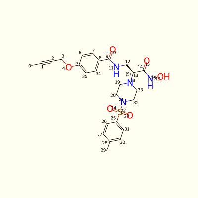 CC#CCOc1ccc(C(=O)NC[C@@H](C(=O)NO)N2CCN(S(=O)(=O)c3ccc(C)cc3)CC2)cc1